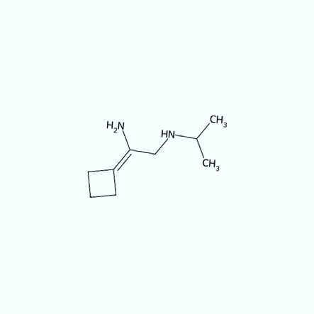 CC(C)NCC(N)=C1CCC1